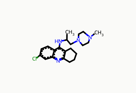 CC(CN1CCN(C)CC1)Nc1c2c(nc3cc(Cl)ccc13)CCCC2